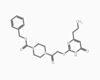 CCCc1cc(=O)[nH]c(SCC(=O)N2CCN(C(=O)OCc3ccccc3)CC2)n1